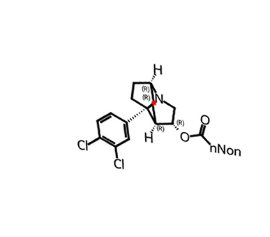 CCCCCCCCCC(=O)O[C@H]1CN2C3CC[C@@H]2C[C@@H](c2ccc(Cl)c(Cl)c2)[C@H]31